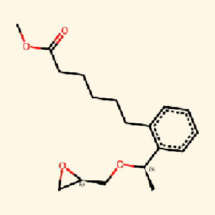 COC(=O)CCCCCc1ccccc1[C@@H](C)OC[C@H]1CO1